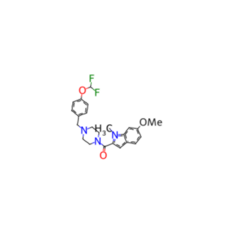 COc1ccc2cc(C(=O)N3CCN(Cc4ccc(OC(F)F)cc4)CC3)n(C)c2c1